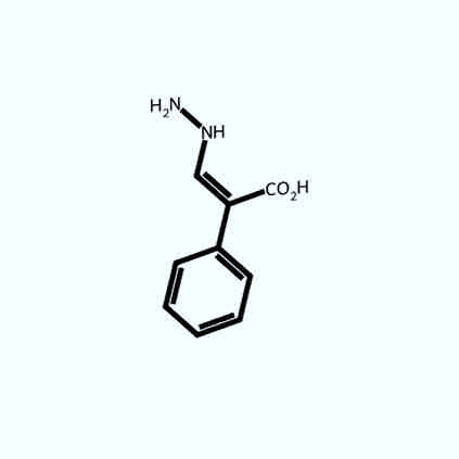 NNC=C(C(=O)O)c1ccccc1